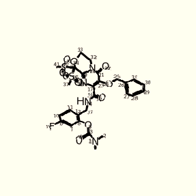 CN(C)C(=O)Oc1cc(F)ccc1CNC(=O)c1nc2n(c(=O)c1OCc1ccccc1)CCOC2(S(C)(=O)=O)S(C)(=O)=O